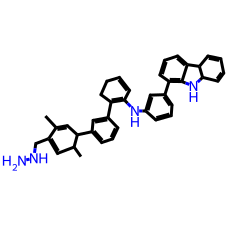 CC1=CC(c2cccc(C3=C(Nc4cccc(-c5cccc6c5NC5C=CC=CC65)c4)C=CCC3)c2)C(C)C=C1CNN